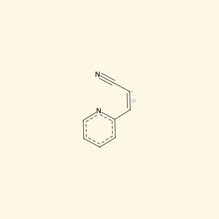 N#C/[C]=C\c1ccccn1